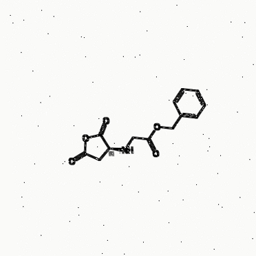 O=C(CN[C@H]1CC(=O)OC1=O)OCc1ccccc1